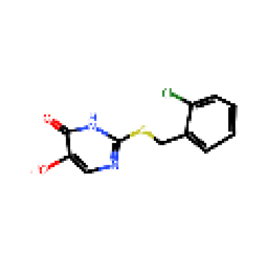 O=c1[nH]c(SCc2ccccc2Cl)ncc1O